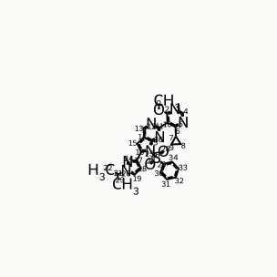 COc1ncnc(C2CC2)c1-c1ncc2cc(-c3ccn(C(C)C)n3)n(S(=O)(=O)c3ccccc3)c2n1